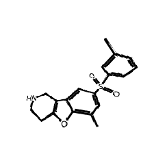 Cc1cccc(S(=O)(=O)c2cc(C)c3oc4c(c3c2)CNCC4)c1